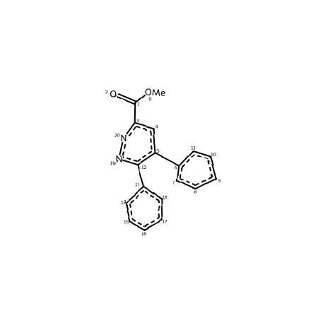 COC(=O)c1cc(-c2ccccc2)c(-c2ccccc2)nn1